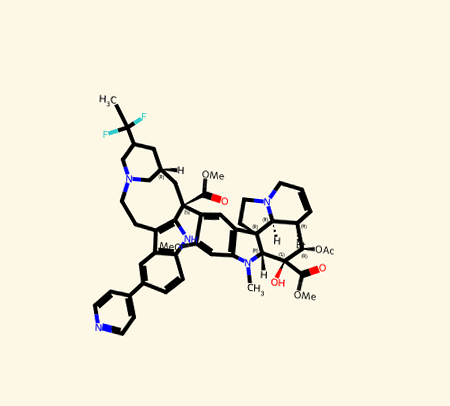 CC[C@]12C=CCN3CC[C@@]4(c5cc([C@@]6(C(=O)OC)C[C@H]7CC(C(C)(F)F)CN(CCc8c6[nH]c6ccc(-c9ccncc9)cc86)C7)c(OC)cc5N(C)[C@H]4[C@@](O)(C(=O)OC)[C@@H]1OC(C)=O)[C@@H]32